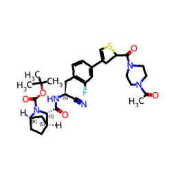 CC(=O)N1CCN(C(=O)C2CC(c3ccc(C[C@@H](C#N)NC(=O)[C@@H]4[C@H]5CC[C@H](C5)N4C(=O)OC(C)(C)C)c(F)c3)=CS2)CC1